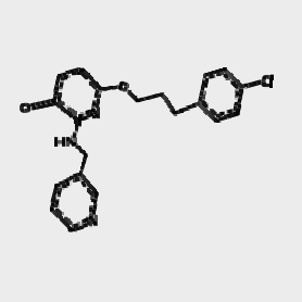 O=c1ccc(OCCCc2ccc(Cl)cc2)nn1NCc1cccnc1